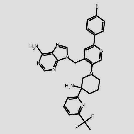 CC(F)(F)c1cccc([C@@]2(N)CCCN(c3cnc(-c4ccc(F)cc4)cc3Cn3cnc4c(N)ncnc43)C2)n1